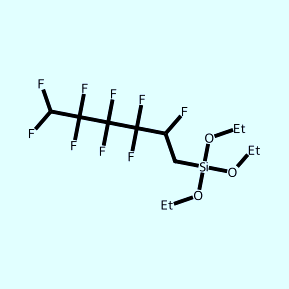 CCO[Si](CC(F)C(F)(F)C(F)(F)C(F)(F)C(F)F)(OCC)OCC